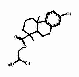 CCCCC(O)COC(=O)C1(C)CCCC2(C)c3ccc(C(C)C)cc3CCC12